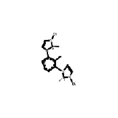 CCN1C=CN(c2cccc(N3C=CN(CC)[C@@H]3C)c2C)[C@@H]1C